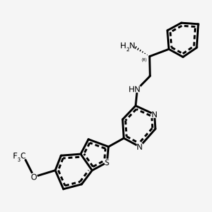 N[C@@H](CNc1cc(-c2cc3cc(OC(F)(F)F)ccc3s2)ncn1)c1ccccc1